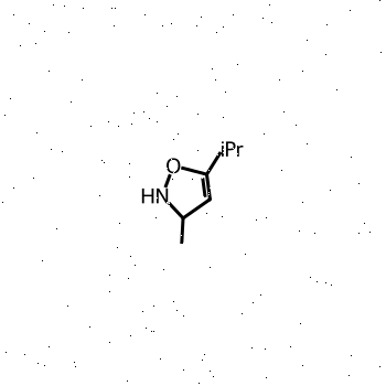 CC1C=C(C(C)C)ON1